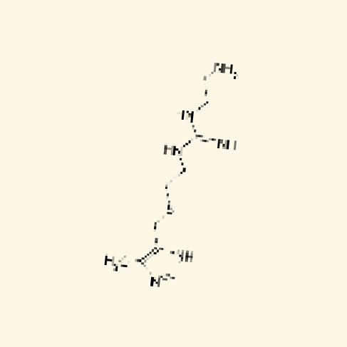 Cc1nc[nH]c1CSCCNC(=N)NCCN